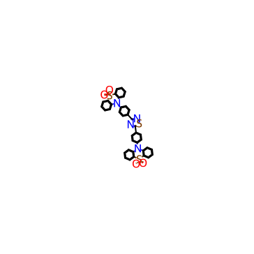 O=S1(=O)c2ccccc2N(c2ccc(-c3nsc(-c4ccc(N5c6ccccc6S(=O)(=O)c6ccccc65)cc4)n3)cc2)c2ccccc21